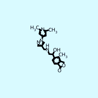 Cc1cc(-n2cc(CNCC(O)c3ccc4c(c3C)COC4=O)cn2)cc(C)n1